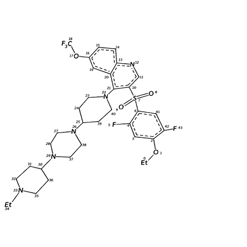 CCOc1cc(F)c(S(=O)(=O)c2cnc3ccc(OC(F)(F)F)cc3c2N2CCC(N3CCN(C4CCN(CC)CC4)CC3)CC2)cc1F